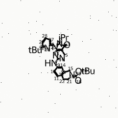 CC(C)n1c(=O)c2cnc(Nc3ccc4c(c3)CN(C(=O)OC(C)(C)C)CC4)nc2n1-c1cccc(C(C)(C)C)n1